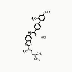 CCOc1ccc(-c2ccc(C(=O)Nc3ccc4nc([As](C)CCN(C)C)sc4c3)cc2)c(C)c1.Cl